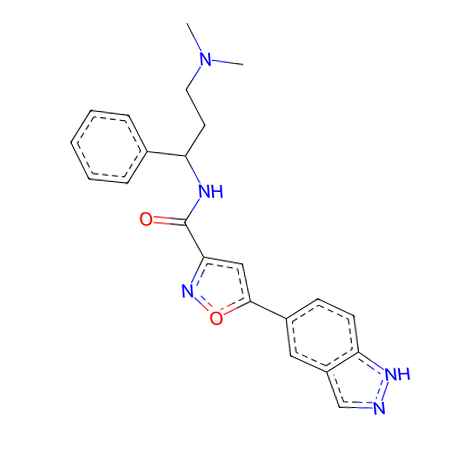 CN(C)CCC(NC(=O)c1cc(-c2ccc3[nH]ncc3c2)on1)c1ccccc1